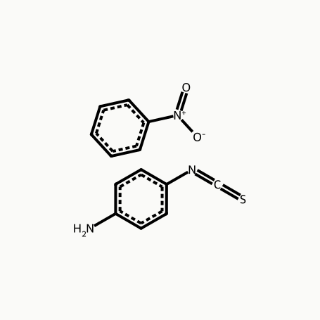 Nc1ccc(N=C=S)cc1.O=[N+]([O-])c1ccccc1